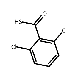 O=C(S)c1c(Cl)cccc1Cl